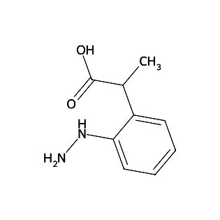 CC(C(=O)O)c1ccccc1NN